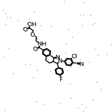 N#Cc1ccc(N2N=C3c4ccc(C(=O)NCCOCC(=O)O)cc4CCC3C2c2ccc(F)cc2)cc1Cl